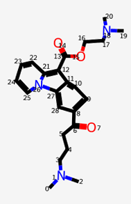 CN(C)CCCC(=O)c1ccc2c(C(=O)OCCN(C)C)c3ccccn3c2c1